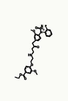 CCOC(=O)c1ccc(OCCNCCC(=O)Cc2ccc(N(C(N)=O)c3ccccc3F)c(OC)c2)c(OC)c1